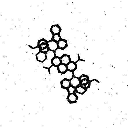 CCc1ccc(-n2c3ccccc3c3cccc(N(c4cccc5c4CCCC5)c4cc(C(C)C)c5ccc6c(N(c7cccc8c7CCCC8)c7cccc8c9ccccc9n(-c9ccc(CC)cc9)c78)cc(C(C)C)c7ccc4c5c76)c32)cc1